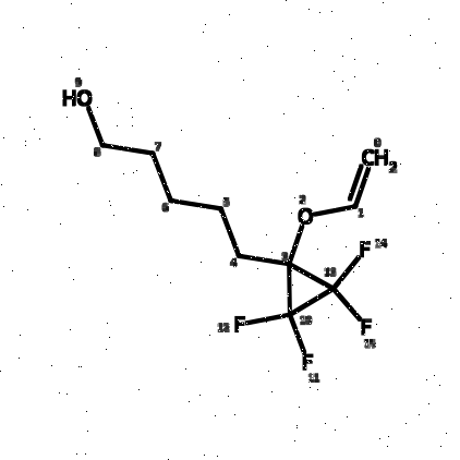 C=COC1(CCCCCO)C(F)(F)C1(F)F